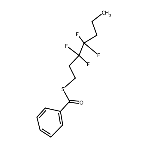 CCCC(F)(F)C(F)(F)CCSC(=O)c1ccccc1